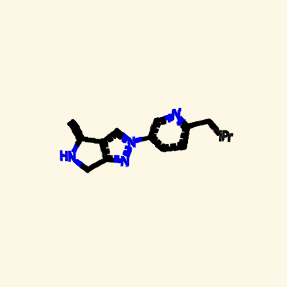 C=C1NCc2nn(-c3ccc(CC(C)C)nc3)cc21